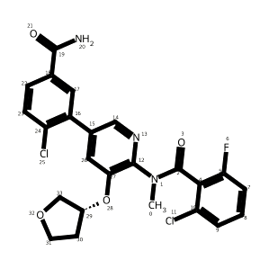 CN(C(=O)c1c(F)cccc1Cl)c1ncc(-c2cc(C(N)=O)ccc2Cl)cc1O[C@@H]1CCOC1